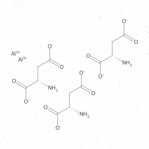 N[C@@H](CC(=O)[O-])C(=O)[O-].N[C@@H](CC(=O)[O-])C(=O)[O-].N[C@@H](CC(=O)[O-])C(=O)[O-].[Al+3].[Al+3]